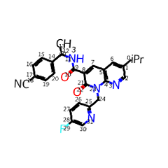 CC(C)c1cnc2c(c1)cc(C(=O)N[C@H](C)c1ccc(C#N)cc1)c(=O)n2Cc1ccc(F)cn1